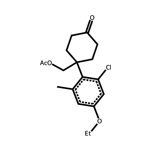 CCOc1cc(C)c(C2(COC(C)=O)CCC(=O)CC2)c(Cl)c1